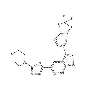 FC1(F)Oc2ccc(-c3c[nH]c4ncc(-c5csc(N6CCOCC6)n5)cc34)cc2O1